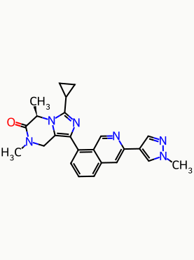 C[C@@H]1C(=O)N(C)Cc2c(-c3cccc4cc(-c5cnn(C)c5)ncc34)nc(C3CC3)n21